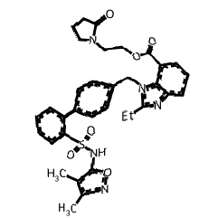 CCc1nc2cccc(C(=O)OCCN3CCCC3=O)c2n1Cc1ccc(-c2ccccc2S(=O)(=O)Nc2onc(C)c2C)cc1